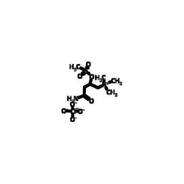 C[N+](C)(C)CC(CC(N)=O)OS(C)(=O)=O.[O-][Cl+3]([O-])([O-])[O-]